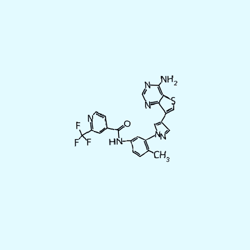 Cc1ccc(NC(=O)c2ccnc(C(F)(F)F)c2)cc1-n1cc(-c2csc3c(N)ncnc23)cn1